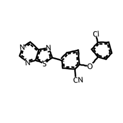 N#Cc1cc(-c2nc3cncnc3s2)ccc1Oc1cccc(Cl)c1